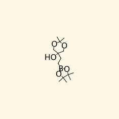 CC1(C)OCC(O)(CCB2OC(C)(C)C(C)(C)O2)CO1